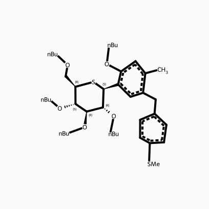 CCCCOC[C@H]1S[C@@H](c2cc(Cc3ccc(SC)cc3)c(C)cc2OCCCC)[C@H](OCCCC)[C@@H](OCCCC)[C@@H]1OCCCC